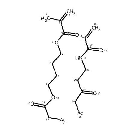 C=C(C)C(=O)OCCCCOC(=O)CC(C)=O.C=CC(=O)NCCC(=O)CC(C)=O